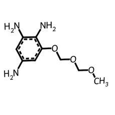 COCOCOc1cc(N)cc(N)c1N